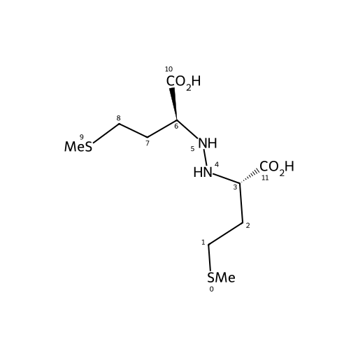 CSCC[C@H](NN[C@@H](CCSC)C(=O)O)C(=O)O